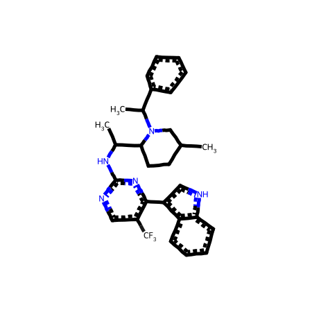 CC1CCC(C(C)Nc2ncc(C(F)(F)F)c(-c3c[nH]c4ccccc34)n2)N(C(C)c2ccccc2)C1